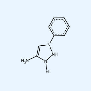 CCN1NN(c2ccccc2)C=C1N